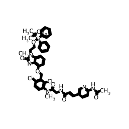 COc1nc2c(OCc3c(Cl)ccc(N(C)C(=O)CNC(=O)C=Cc4ccc(NC(C)=O)nc4)c3Cl)cccc2n1CCO[Si](c1ccccc1)(c1ccccc1)C(C)(C)C